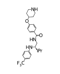 CC(C)[C@H](CNC(=O)c1ccc(OC2CCNCC2)cc1)Nc1ccc(C(F)(F)F)cc1